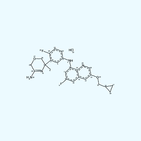 CC1(c2cc(Nc3cc(F)cc4cc(OCC5CC5)cnc34)ccc2F)COCC(N)=N1.Cl